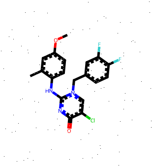 COc1ccc(Nc2nc(=O)c(Cl)cn2Cc2ccc(F)c(F)c2)c(C)c1